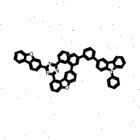 c1ccc(-c2nc(-c3ccc4c(c3)oc3ccccc34)nc(-c3cccc4oc5ccc(-c6cccc(-c7cccc(-c8ccc9c(c8)c8ccccc8n9-c8ccccc8)c7)c6)cc5c34)n2)cc1